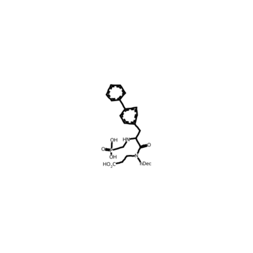 CCCCCCCCCCN(CCC(=O)O)C(=O)C(Cc1ccc(-c2ccccc2)cc1)NCP(=O)(O)O